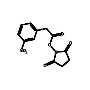 O=C(Cc1cccc([N+](=O)[O-])c1)ON1C(=O)CCC1=O